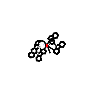 CC1C/C=C2/C(=C(c3ccc4ccccc4c3)\N=C/1c1cccc3c4ccccc4n(-c4ccccc4)c13)Cc1ccc3c4cc5ccccc5cc4n(c3c1)-c1c2ccc2c1oc1ccccc12